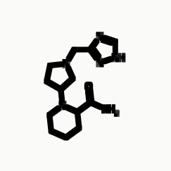 NC(=O)C1CCCCN1C1CCN(Cc2nc[nH]n2)C1